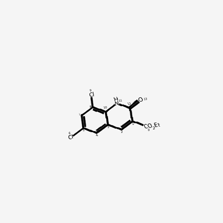 CCOC(=O)c1cc2cc(Cl)cc(Cl)c2[nH]c1=O